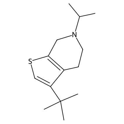 CC(C)N1CCc2c(C(C)(C)C)csc2C1